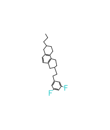 CCCC1CCc2c(ccc3c2CCC(CCc2cc(F)cc(F)c2)C3)C1